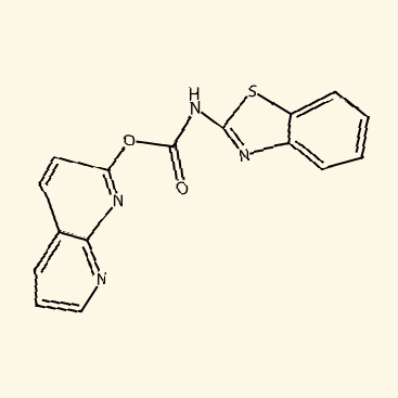 O=C(Nc1nc2ccccc2s1)Oc1ccc2cccnc2n1